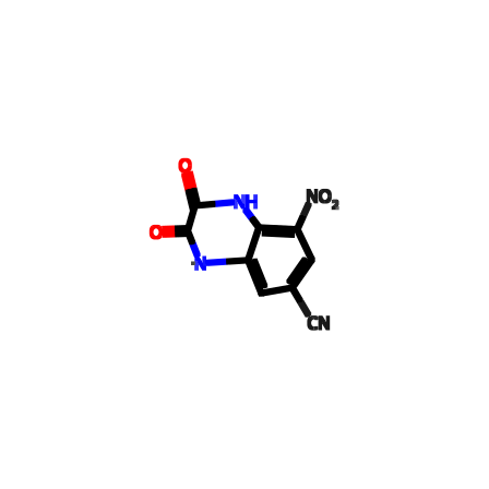 N#Cc1cc2c(c([N+](=O)[O-])c1)NC(=O)C(=O)[N]2